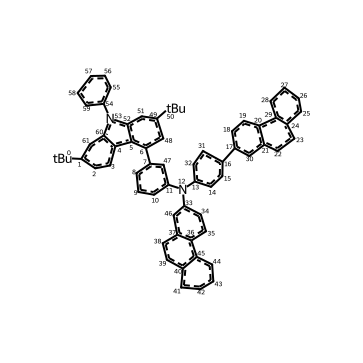 CC(C)(C)c1ccc2c3c(-c4cccc(N(c5ccc(-c6ccc7c(ccc8ccccc87)c6)cc5)c5ccc6c(ccc7ccccc76)c5)c4)cc(C(C)(C)C)cc3n(-c3ccccc3)c2c1